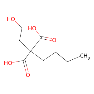 CCCCC(CCO)(C(=O)O)C(=O)O